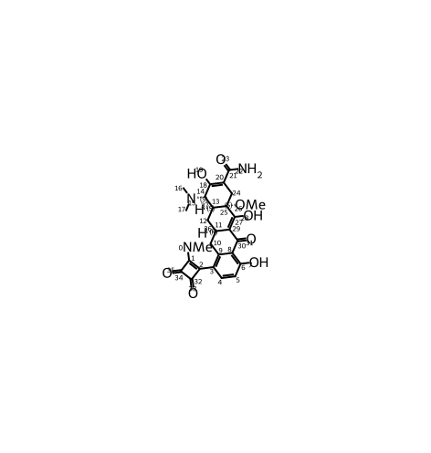 CNc1c(-c2ccc(O)c3c2C[C@H]2C[C@H]4[C@H](N(C)C)C(O)=C(C(N)=O)C[C@@]4(OC)C(O)=C2C3=O)c(=O)c1=O